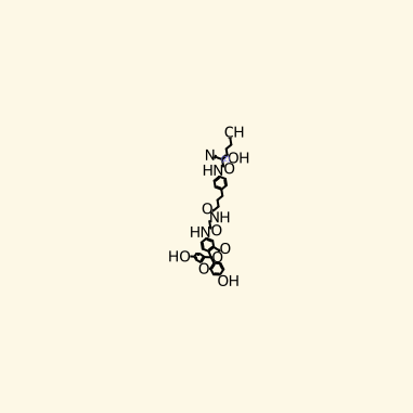 C#CCC/C(O)=C(\C#N)C(=O)Nc1ccc(CCCC(=O)NCC(=O)Nc2ccc3c(c2)C(=O)OC32c3ccc(O)cc3Oc3cc(O)ccc32)cc1